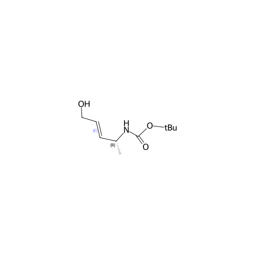 C[C@H](/C=C/CO)NC(=O)OC(C)(C)C